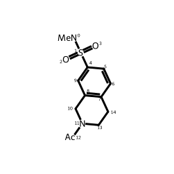 CNS(=O)(=O)c1ccc2c(c1)CN(C(C)=O)CC2